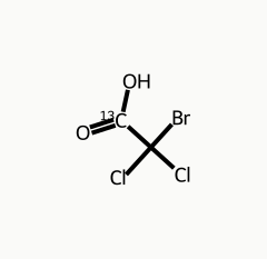 O=[13C](O)C(Cl)(Cl)Br